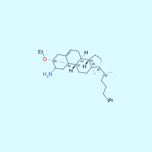 CCO[C@@H]1CC2=CC[C@H]3[C@@H]4CC[C@H]([C@H](C)CCCC(C)C)[C@@]4(C)CC[C@@H]3[C@@]2(C)CC1N